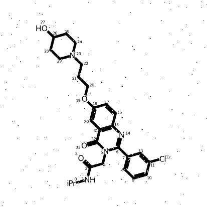 CC(C)NC(=O)Cn1c(-c2cccc(Cl)c2)nc2ccc(OCCCN3CCC(O)CC3)cc2c1=O